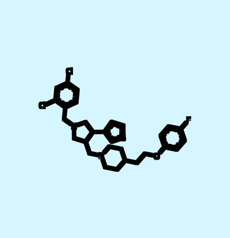 Fc1ccc(OCCC2CCN(CC3CN(Cc4ccc(Cl)cc4Cl)CC3c3ccsc3)CC2)cc1